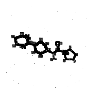 [CH2][C@@H](C(=O)N1CCCC1)c1ccc(-c2ncccn2)cc1